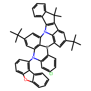 CC(C)(C)c1cc2c3c(c1)-n1c4c(c5cc(C(C)(C)C)cc(c51)B3c1ccc(Cl)cc1N2c1cccc2oc3ccccc3c12)C(C)(C)c1ccccc1-4